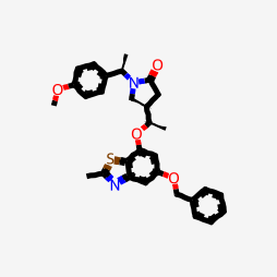 COc1ccc([C@@H](C)N2C[C@H]([C@@H](C)Oc3cc(OCc4ccccc4)cc4nc(C)sc34)CC2=O)cc1